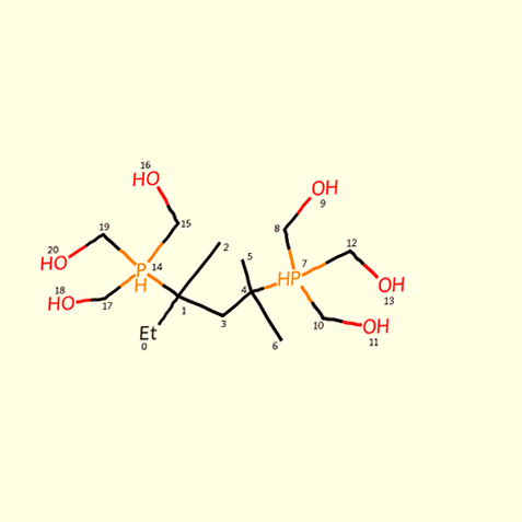 CCC(C)(CC(C)(C)[PH](CO)(CO)CO)[PH](CO)(CO)CO